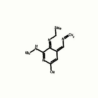 C=N/C=C1/C=C(C#N)N=C(NC(C)(C)C)/C1=N/CSC